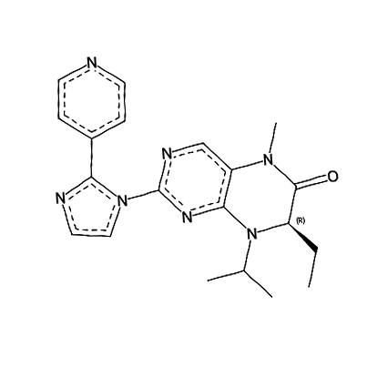 CC[C@@H]1C(=O)N(C)c2cnc(-n3ccnc3-c3ccncc3)nc2N1C(C)C